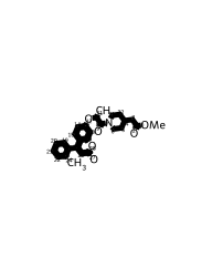 COC(=O)CC1CCN(C(=O)C(C)Oc2ccc3c(-c4ccccc4C)cc(=O)oc3c2)CC1